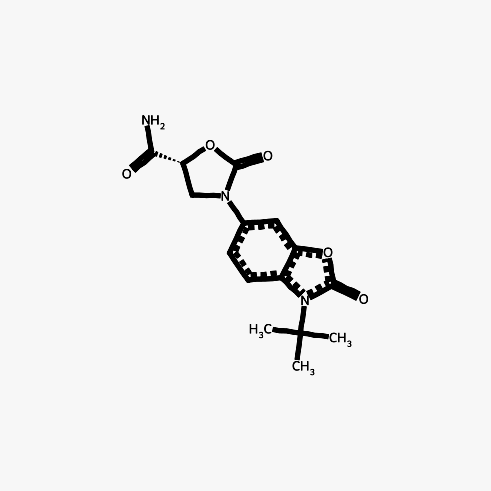 CC(C)(C)n1c(=O)oc2cc(N3C[C@H](C(N)=O)OC3=O)ccc21